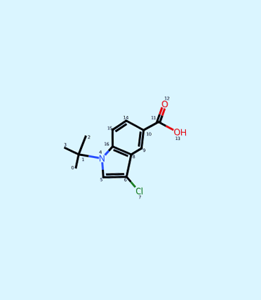 CC(C)(C)n1cc(Cl)c2cc(C(=O)O)ccc21